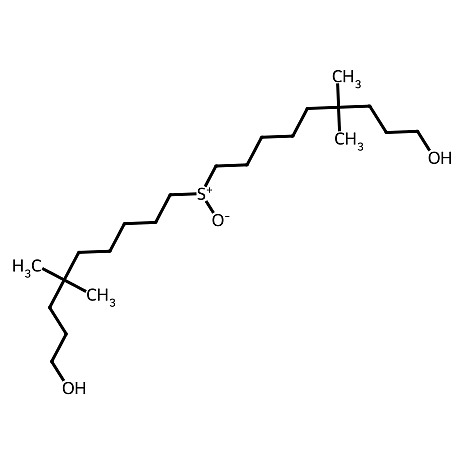 CC(C)(CCCO)CCCCC[S+]([O-])CCCCCC(C)(C)CCCO